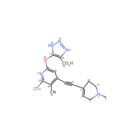 CN1CC=C(C#Cc2cc(Oc3[nH]nnc3C(=O)O)nc(Cl)c2C#N)CC1